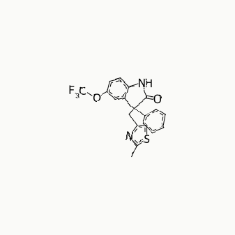 Cc1nc(CC2(c3ccccc3)C(=O)Nc3ccc(OC(F)(F)F)cc32)cs1